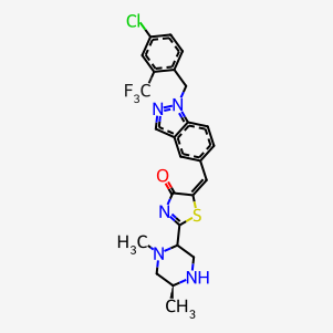 C[C@H]1CN(C)C(C2=NC(=O)C(=Cc3ccc4c(cnn4Cc4ccc(Cl)cc4C(F)(F)F)c3)S2)CN1